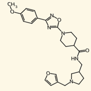 COc1ccc(-c2noc(N3CCC(C(=O)NCC4CCN(Cc5ccoc5)C4)CC3)n2)cc1